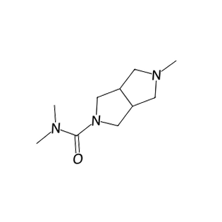 CN1CC2CN(C(=O)N(C)C)CC2C1